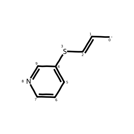 [CH2]C=CSc1cccnc1